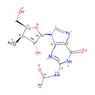 CC(=O)O[C@@H]1[C@@H](O)[C@H](n2cnc3c(=O)[nH]c(NC(=O)C(C)C)nc32)O[C@@H]1CO